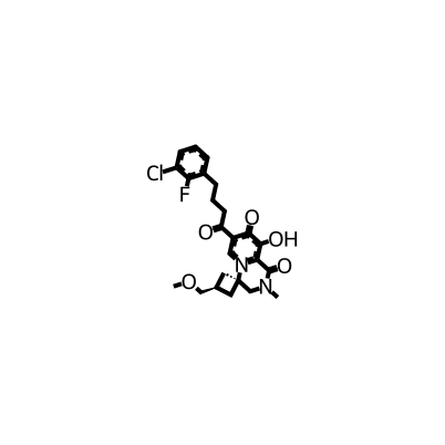 COC[C@H]1C[C@]2(CN(C)C(=O)c3c(O)c(=O)c(C(=O)CCCc4cccc(Cl)c4F)cn32)C1